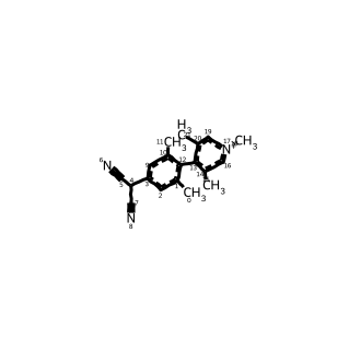 Cc1cc(C(C#N)C#N)cc(C)c1-c1c(C)c[n+](C)cc1C